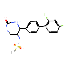 CC(C)S(=O)(=O)NC1CNC(=O)NC1c1ccc(-c2ccc(F)cc2F)cc1